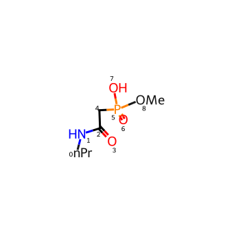 CCCNC(=O)CP(=O)(O)OC